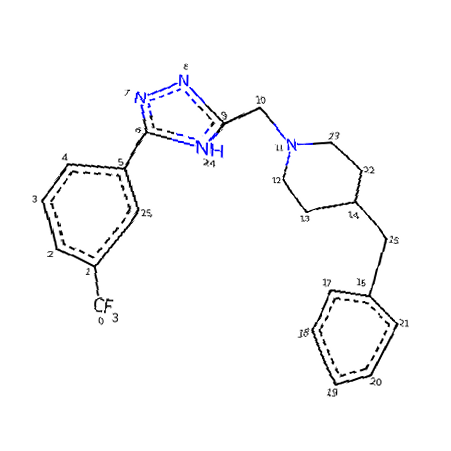 FC(F)(F)c1cccc(-c2nnc(CN3CCC(Cc4ccccc4)CC3)[nH]2)c1